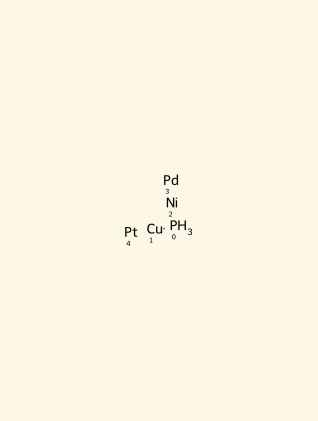 P.[Cu].[Ni].[Pd].[Pt]